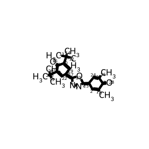 CC1=CC(=c2nnc(=C3C=C(C(C)(C)C)C(=O)C(C(C)(C)C)=C3)o2)C=C(C)C1=O